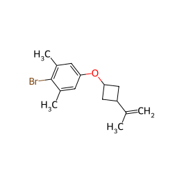 C=C(C)C1CC(Oc2cc(C)c(Br)c(C)c2)C1